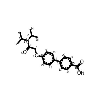 CC(C)N(C(=O)COc1ccc(-c2ccc(C(=O)O)cc2)cc1)C(C)C